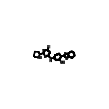 Oc1cc(Nc2nc(Cl)nc(C3CCCCN3)n2)ccc1-c1nc2ccccc2s1